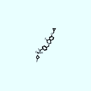 C[C@H](NC(=O)[C@H]1C[C@H](F)C1)c1ccc(CN2Cc3ccc(OCC4CC4)cc3C(F)C2)cc1